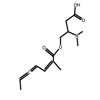 CC=C=CC=C(C)C(=O)OCC(CC(=O)O)N(C)C